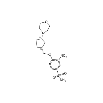 NS(=O)(=O)c1ccc(OC[C@@H]2CC[C@H](N3CCOCC3)C2)c([N+](=O)[O-])c1